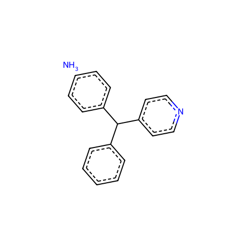 N.c1ccc(C(c2ccccc2)c2ccncc2)cc1